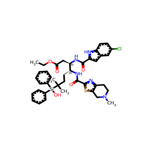 CCOC(=O)C[C@@H](NC(=O)c1cc2cc(Cl)ccc2[nH]1)[C@@H](CCC(C)(C)[Si](O)(c1ccccc1)c1ccccc1)NC(=O)c1nc2c(s1)CN(C)CC2